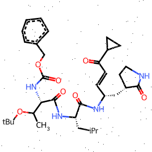 CC(C)C[C@H](NC(=O)[C@@H](NC(=O)OCc1ccccc1)C(C)OC(C)(C)C)C(=O)N[C@H](/C=C/C(=O)C1CC1)C[C@@H]1CCNC1=O